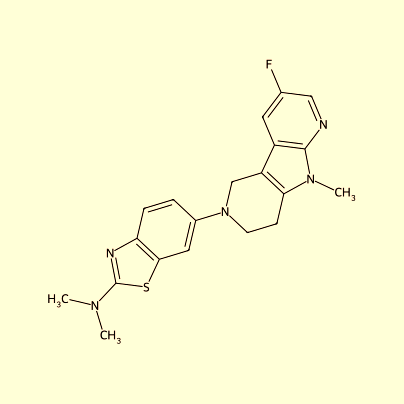 CN(C)c1nc2ccc(N3CCc4c(c5cc(F)cnc5n4C)C3)cc2s1